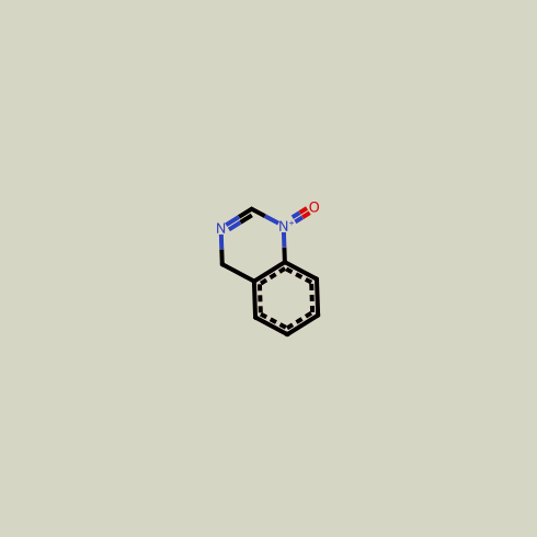 O=[N+]1C=NCc2ccccc21